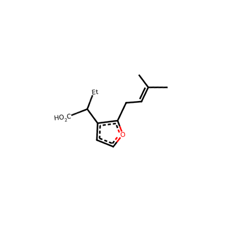 CCC(C(=O)O)c1ccoc1CC=C(C)C